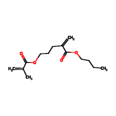 C=C(C)C(=O)OCCCC(=C)C(=O)OCCCC